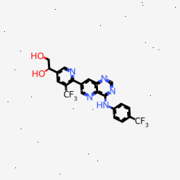 OC[C@H](O)c1cnc(-c2cnc3c(Nc4ccc(C(F)(F)F)cc4)ncnc3c2)c(C(F)(F)F)c1